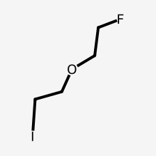 FCCOCCI